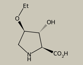 CCO[C@@H]1CN[C@H](C(=O)O)[C@H]1O